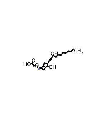 CCCCCCCCCC(O)C#CC1CC2/C(=N\OCC(=O)O)CC2C1O